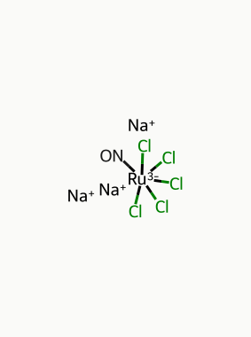 O=[N][Ru-3]([Cl])([Cl])([Cl])([Cl])[Cl].[Na+].[Na+].[Na+]